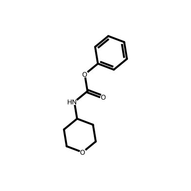 O=C(NC1CCOCC1)Oc1ccccc1